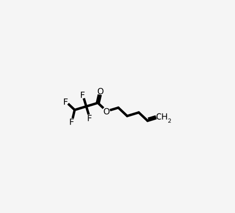 C=CCCCOC(=O)C(F)(F)C(F)F